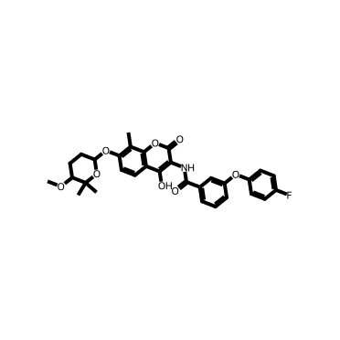 COC1CCC(Oc2ccc3c(O)c(NC(=O)c4cccc(Oc5ccc(F)cc5)c4)c(=O)oc3c2C)OC1(C)C